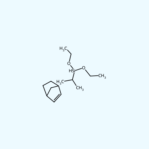 C1=CC2CCC1C2.CCO[SiH](OCC)C(C)C